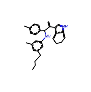 C=C(c1c[nH]c2c1=CCCC=2)C(Nc1cc(C)cc(CCCC)c1)c1ccc(C)cc1